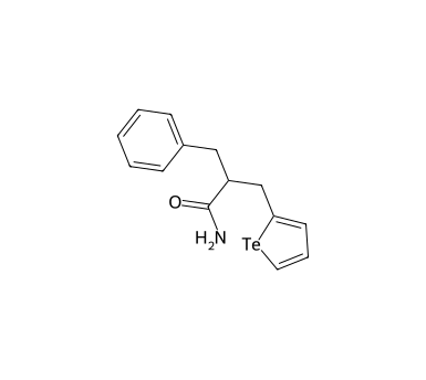 NC(=O)C(Cc1ccccc1)Cc1ccc[te]1